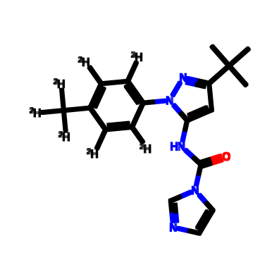 [2H]c1c([2H])c(C([2H])([2H])[2H])c([2H])c([2H])c1-n1nc(C(C)(C)C)cc1NC(=O)n1ccnc1